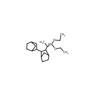 CCO[SiH](OCC)C(C)C1C2CCC(C2)C1C1CC2CCC1C2